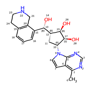 Cc1ncnc2c1ccn2[C@@H]1C[C@H]([C@@H](O)c2cccc3c2CNCC3)[C@@H](O)[C@H]1O